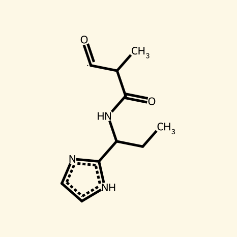 CCC(NC(=O)C(C)[C]=O)c1ncc[nH]1